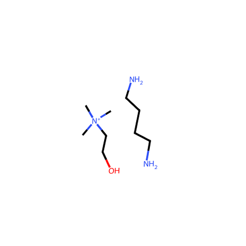 C[N+](C)(C)CCO.NCCCCN